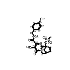 CS(=O)(=O)NC12CCC(Cn3c1nc(C(=O)NCc1ccc(F)cc1)c(O)c3=O)C2